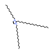 CCCCCCCCCCCCCCCCCCc1n(CCCCCCCCCC)cc[n+]1CCCCCCCCCCCCCC